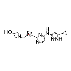 OC1CN(CC23CC(C2)N(c2nccc(Nc4cc(C5CC5)[nH]n4)n2)C3)C1